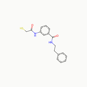 O=C(CS)Nc1cccc(C(=O)NCCc2ccccc2)c1